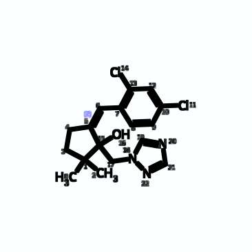 CC1(C)CC/C(=C/c2ccc(Cl)cc2Cl)C1(O)Cn1cncn1